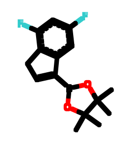 CC1(C)OB(C2=CCc3c(F)cc(F)cc32)OC1(C)C